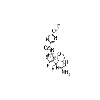 C[C@@H]1OCC[C@H]2OC(N)=N[C@](CF)(c3cc(NC(=O)c4cnc(OCF)cn4)ccc3F)[C@@H]12